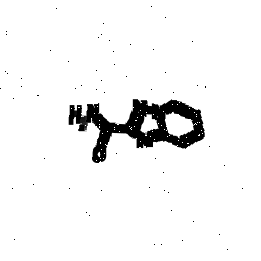 NC(=O)c1nc2ccccn2n1